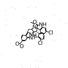 CCN1C2Cc3c4ccc(C(=O)OC)cc4nn3[C@H]2[C@H](c2cccc(Cl)c2F)C12C(=O)Nc1cc(Cl)ccc12